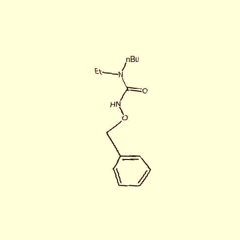 CCCCN(CC)C(=O)NOCc1ccccc1